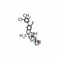 Cc1ccc(-c2cc3c(cc2F)[C@H](NC(=O)O[C@H]2CN4CCC2CC4)C(C)(C)C3)cc1Cl